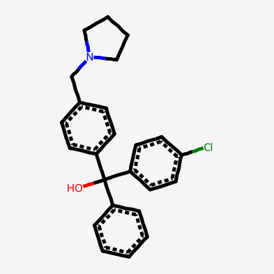 OC(c1ccccc1)(c1ccc(Cl)cc1)c1ccc(CN2CCCC2)cc1